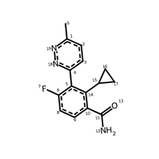 Cc1ccc(-c2c(F)ccc(C(N)=O)c2C2CC2)nn1